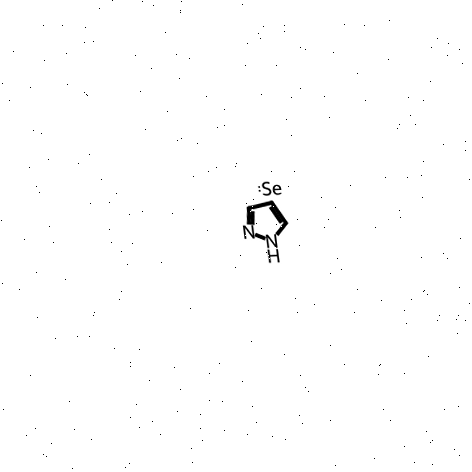 [Se].c1cn[nH]c1